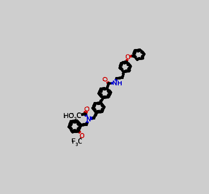 O=C(O)C(=O)N(Cc1ccc(-c2ccc(C(=O)NCCc3ccc(Oc4ccccc4)cc3)cc2)cc1)Cc1ccccc1OC(F)(F)F